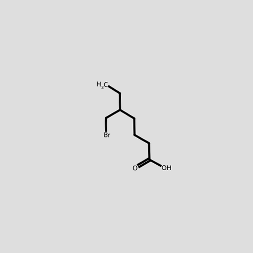 CCC(CBr)CCCC(=O)O